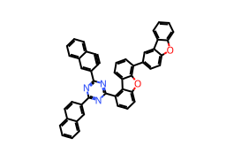 c1c(-c2nc(-c3ccc4ccccc4c3)nc(-c3cccc4oc5c(-c6ccc7oc8ccccc8c7c6)cccc5c34)n2)cc2ccccc2c#1